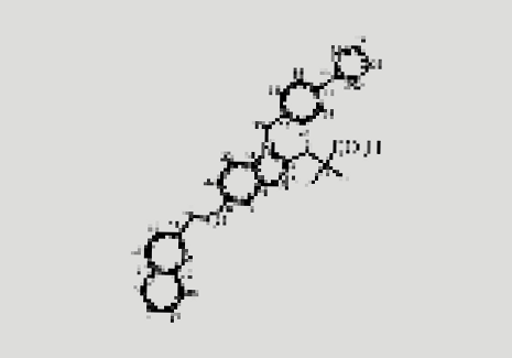 CC(C)(Cc1nc2cc(OCc3ccc4ccccc4n3)ccc2n1Cc1ccc(-c2nccs2)cc1)C(=O)O